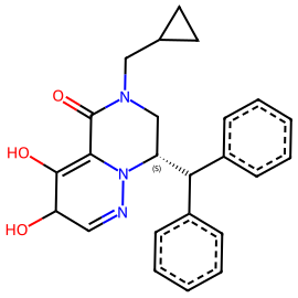 O=C1C2=C(O)C(O)C=NN2[C@@H](C(c2ccccc2)c2ccccc2)CN1CC1CC1